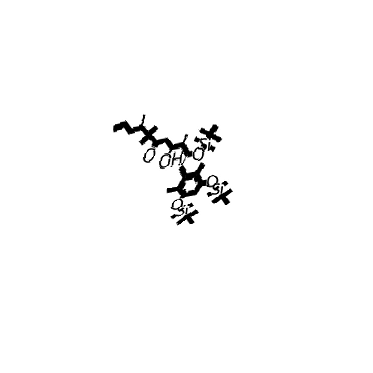 C=CC[C@@H](C)C(C)(C)C(=O)C[C@H](O)[C@@H](C)[C@@H](Cc1c(C)c(O[Si](C)(C)C(C)(C)C)cc(O[Si](C)(C)C(C)(C)C)c1C)O[Si](C)(C)C(C)(C)C